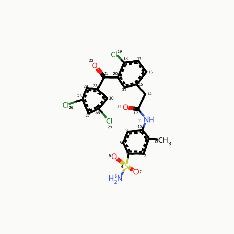 Cc1cc(S(N)(=O)=O)ccc1NC(=O)Cc1ccc(Cl)c(C(=O)c2cc(Cl)cc(Cl)c2)c1